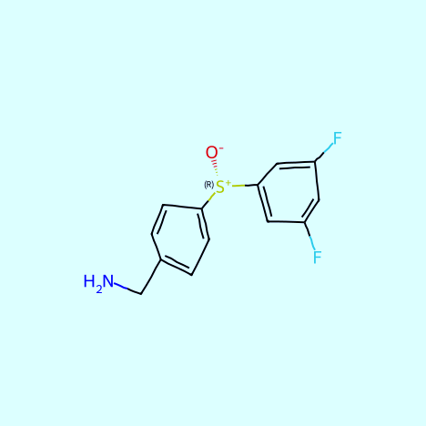 NCc1ccc([S@+]([O-])c2cc(F)cc(F)c2)cc1